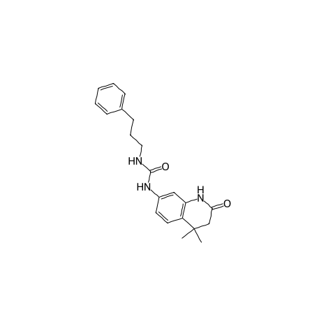 CC1(C)CC(=O)Nc2cc(NC(=O)NCCCc3ccccc3)ccc21